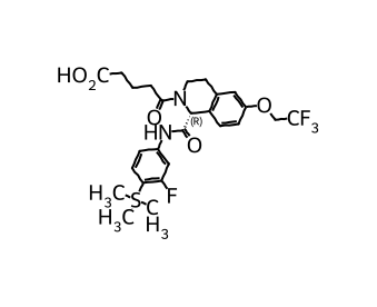 CS(C)(C)c1ccc(NC(=O)[C@H]2c3ccc(OCC(F)(F)F)cc3CCN2C(=O)CCCC(=O)O)cc1F